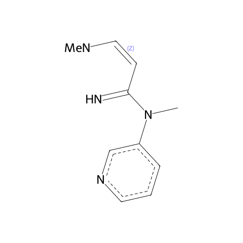 CN/C=C\C(=N)N(C)c1cccnc1